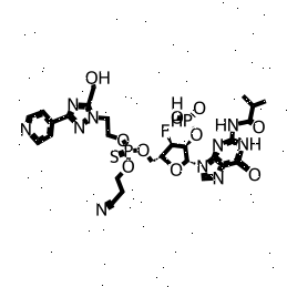 CC(C)C(=O)Nc1nc2c(ncn2[C@@H]2O[C@H](COP(=S)(OCCC#N)OCCn3nc(-c4ccncc4)nc3CO)[C@@H](F)[C@H]2O[PH](=O)O)c(=O)[nH]1